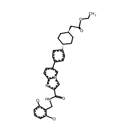 CCOC(=O)C[C@H]1CC[C@H](c2ccc(-c3ccc4nc(C(=O)NCc5c(Cl)cccc5Cl)cn4c3)cc2)CC1